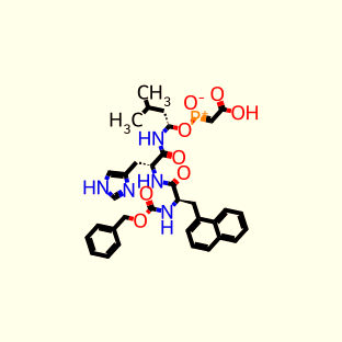 CC(C)C[C@@H](NC(=O)[C@@H](Cc1c[nH]cn1)NC(=O)[C@@H](Cc1cccc2ccccc12)NC(=O)OCc1ccccc1)O/[P+]([O-])=C/C(=O)O